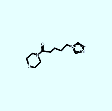 O=C(CCCCn1c[c]nc1)N1CCOCC1